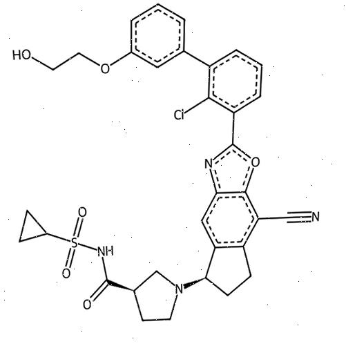 N#Cc1c2c(cc3nc(-c4cccc(-c5cccc(OCCO)c5)c4Cl)oc13)[C@H](N1CC[C@@H](C(=O)NS(=O)(=O)C3CC3)C1)CC2